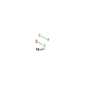 F[S-].F[S-].[Mn+2]